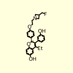 CCC1=C(c2cccc(O)c2)[C@H](c2ccc(OCCN3CC(CF)C3)cc2)Oc2ccc(O)cc21